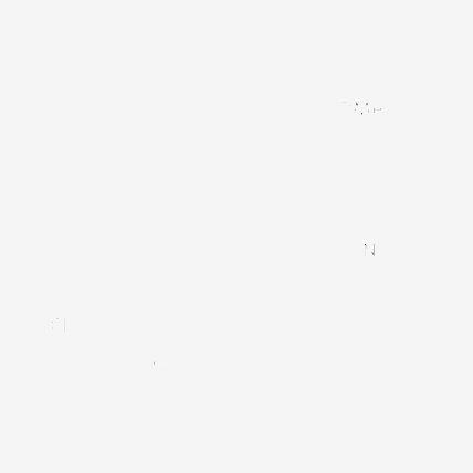 COC[C@@H]1CN(C)CC[C@@H]1Cc1ccc(Cl)c(Cl)c1